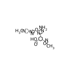 Cc1cnc(-c2cc(-c3cnc(N)c(Oc4cnn(C5CCN(C)CC5)c4)n3)cc(C3(O)COC3)c2)o1